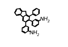 Nc1cccc(-c2cc3c(c(-c4ccccc4)c2-c2cccc(N)c2)Cc2ccccc2-3)c1